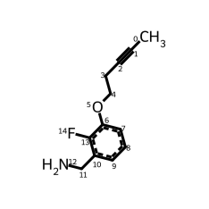 CC#CCCOc1cccc(CN)c1F